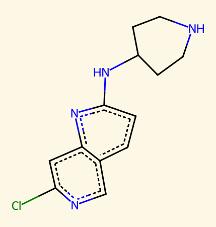 Clc1cc2nc(NC3CCNCC3)ccc2cn1